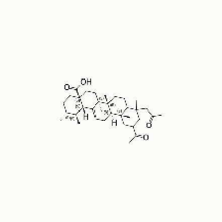 CC(=O)CC1(C)CC(C(C)=O)C[C@@]2(C)C1CC[C@]1(C)[C@@H]2CC=C2[C@@H]3[C@@H](C)[C@H](C)CC[C@]3(C(=O)O)CC[C@]21C